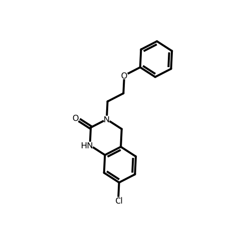 O=C1Nc2cc(Cl)ccc2CN1CCOc1ccccc1